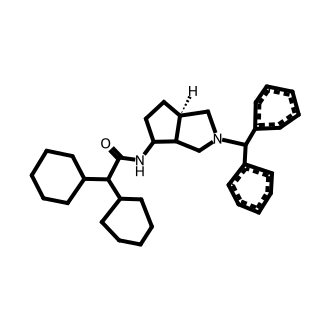 O=C(NC1CC[C@H]2CN(C(c3ccccc3)c3ccccc3)CC12)C(C1CCCCC1)C1CCCCC1